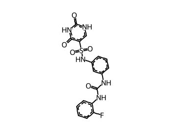 O=C(Nc1cccc(NS(=O)(=O)c2c[nH]c(=O)[nH]c2=O)c1)Nc1ccccc1F